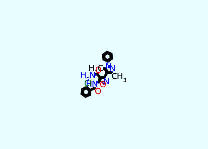 Cc1nn(-c2ccccc2)c(C)c1-c1noc(NC(=O)c2ccccc2Cl)c1C(N)=O